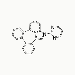 c1cnc(-n2cc3c4c(cccc42)-c2ccccc2-c2ccccc2-3)nc1